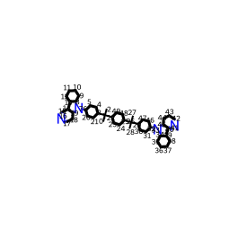 CC(C)(c1ccc(-n2c3ccccc3c3cnccc32)cc1)c1ccc(C(C)(C)c2ccc(-n3c4ccccc4c4ncccc43)cc2)cc1